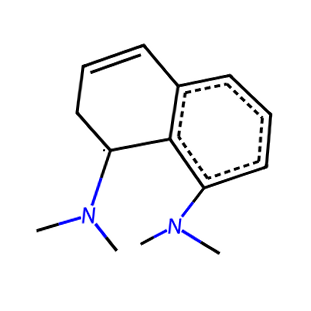 CN(C)[C]1CC=Cc2cccc(N(C)C)c21